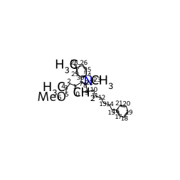 C=C(CC(C)COC)c1c(CCCCCCCc2ccccc2)n(C)c2ccc(C)cc12